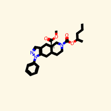 CCCC(C)OC(=O)N1CCC2Cc3c(cnn3-c3ccccc3)C[C@]2(C(=O)OC)C1